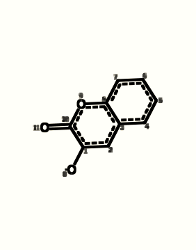 [O]c1cc2ccccc2oc1=O